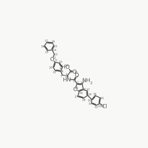 Nc1c(C(=O)N[C@@H](Cc2ccc(OCc3ccccc3)cc2)C(=O)O)oc2ccc(-c3ccc(Cl)cc3)cc12